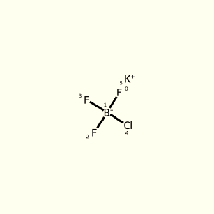 F[B-](F)(F)Cl.[K+]